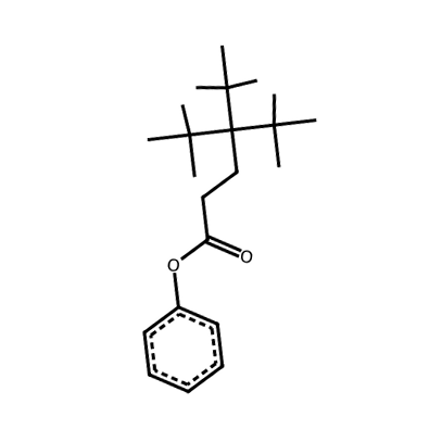 CC(C)(C)C(CCC(=O)Oc1ccccc1)(C(C)(C)C)C(C)(C)C